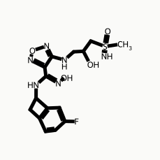 CS(=N)(=O)CC(O)CNc1nonc1C(=NO)NC1Cc2ccc(F)cc21